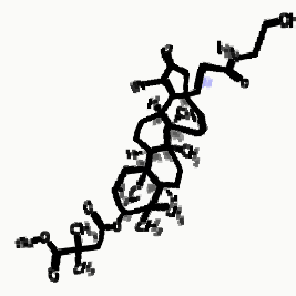 CC(C)C1=C2[C@H]3CC[C@@H]4[C@@]5(C)CC[C@H](OC(=O)CC(C)(C)C(=O)OC(C)(C)C)C(C)(C)[C@@H]5CC[C@@]4(C)[C@]3(C)CC[C@@]2(/C=C/C(=O)NCCO)CC1=O